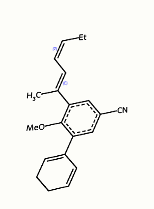 CC/C=C\C=C(/C)c1cc(C#N)cc(C2=CCCC=C2)c1OC